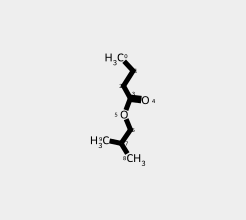 CCCC(=O)O[CH]C(C)C